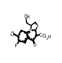 O=C(O)c1c2n(c3cc(Cl)c(F)cc3c1=O)C(CO)CS2